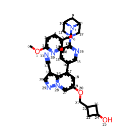 COc1ccc(CN2C3CC2CN(c2ccc(-c4cc(OCC5CC(O)C5)cn5ncc(C#N)c45)cn2)C3)cn1